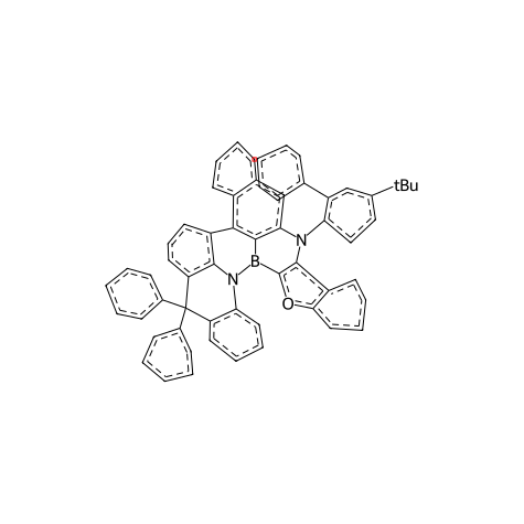 CC(C)(C)c1ccc(N2c3cc4ccccc4c4c3B(c3oc5ccccc5c32)N2c3ccccc3C(c3ccccc3)(c3ccccc3)c3cccc-4c32)c(-c2ccccc2)c1